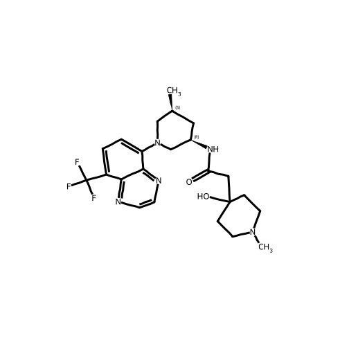 C[C@H]1C[C@@H](NC(=O)CC2(O)CCN(C)CC2)CN(c2ccc(C(F)(F)F)c3nccnc23)C1